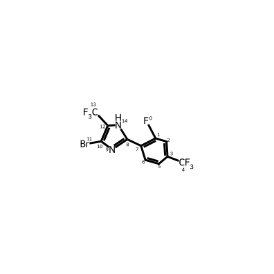 Fc1cc(C(F)(F)F)ccc1-c1nc(Br)c(C(F)(F)F)[nH]1